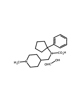 CN1CCC(CN(C(=O)O)C2(c3ccccc3)CCCC2)CC1.O=CO